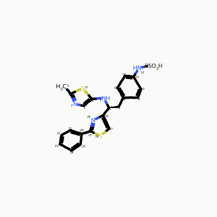 Cc1ncc(N[C@@H](Cc2ccc(NS(=O)(=O)O)cc2)c2csc(-c3ccccc3)n2)s1